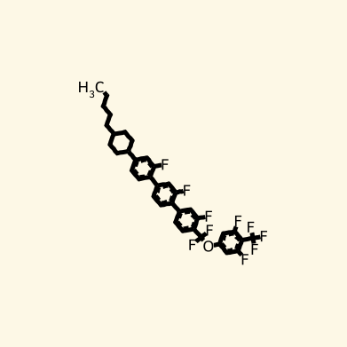 CCCCCC1CCC(c2ccc(-c3ccc(-c4ccc(C(F)(F)Oc5cc(F)c(C(F)(F)F)c(F)c5)c(F)c4)c(F)c3)c(F)c2)CC1